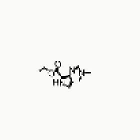 CCOC(=O)c1[nH]ccc1/N=C\N(C)C